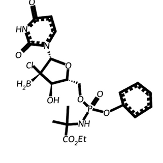 B[C@]1(Cl)[C@H](O)[C@@H](COP(=O)(NC(C)(C)C(=O)OCC)Oc2ccccc2)O[C@H]1n1ccc(=O)[nH]c1=O